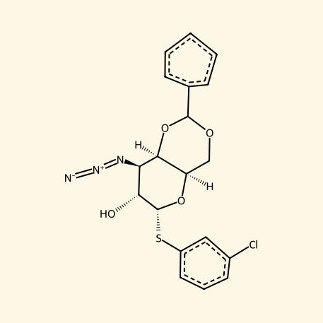 [N-]=[N+]=N[C@@H]1[C@@H](O)[C@@H](Sc2cccc(Cl)c2)O[C@@H]2COC(c3ccccc3)O[C@H]12